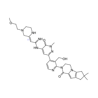 COCCN1CCN/C(=C\C(=N)Nc2cc(-c3ccnc(N4CCn5c(cc6c5CC(C)(C)C6)C4=O)c3CO)nn(C)c2=O)C1